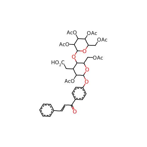 CC(=O)OCC1OC(Oc2ccc(C(=O)C=Cc3ccccc3)cc2)C(OC(C)=O)C(CC(=O)O)C1OC1OC(COC(C)=O)C(OC(C)=O)C(OC(C)=O)C1OC(C)=O